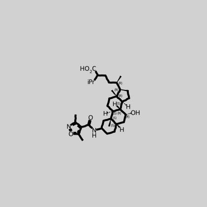 Cc1noc(C)c1C(=O)NC1CC[C@H]2C[C@@H](O)[C@@H]3[C@H](CC[C@]4(C)[C@@H]([C@H](C)CCC(C(=O)O)C(C)C)CC[C@@H]34)[C@@]2(C)C1